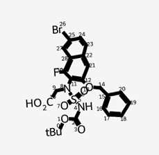 CC(C)(C)OC(=O)NS(=O)(=O)N(CC(=O)O)c1c(OCc2ccccc2)cc2ccc(Br)cc2c1F